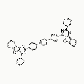 c1ccc(-c2nc(-c3ccc(-c4ccc(-c5ccc(-c6nc(-c7ccccc7)c7oc8ccccc8c7n6)cc5)cc4)cc3)c3oc4ccccc4c3n2)cc1